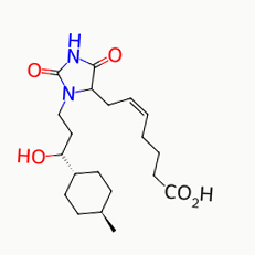 C[C@H]1CC[C@H](C(O)CCN2C(=O)NC(=O)C2C/C=C\CCCC(=O)O)CC1